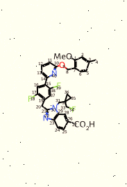 COc1cc(C)ccc1COc1cccc(-c2cc(F)c(Cc3nc4ccc(C(=O)O)cc4n3CC3(CF)CC3)cc2F)n1